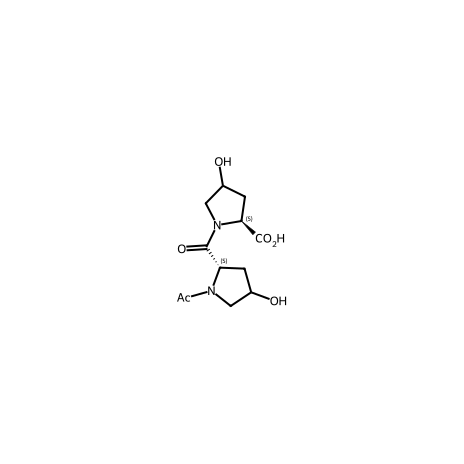 CC(=O)N1CC(O)C[C@H]1C(=O)N1CC(O)C[C@H]1C(=O)O